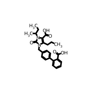 CCCc1c(C(=O)O)n(C(C)CC)c(=O)n1Cc1ccc(-c2ccccc2C(=O)O)cc1